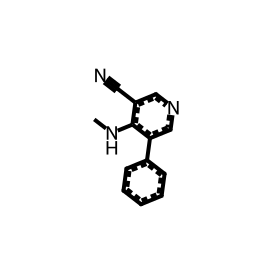 CNc1c(C#N)cncc1-c1ccccc1